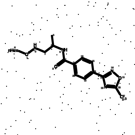 CCCCCCONCC(C)NC(=O)c1ccc(-c2noc(C(F)(F)F)n2)cc1